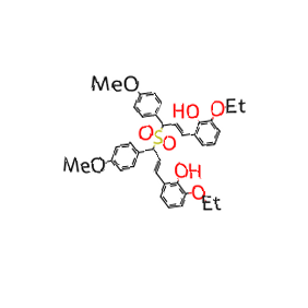 CCOc1cccc(C=CC(c2ccc(OC)cc2)S(=O)(=O)C(C=Cc2cccc(OCC)c2O)c2ccc(OC)cc2)c1O